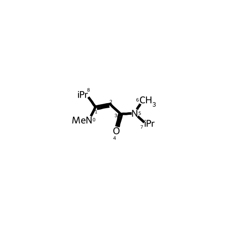 CN/C(=C\C(=O)N(C)C(C)C)C(C)C